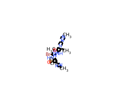 CCc1cc(Nc2ncc(Br)c(Nc3ccc(-c4cnc(C)cn4)cc3P(C)(C)=O)n2)c(OC)cc1N1CCC(N2CCN(C)CC2)CC1